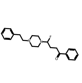 O=C(CCC(F)N1CCN(CCc2ccccc2)CC1)c1ccccc1